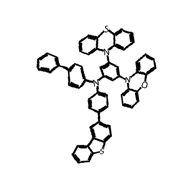 c1ccc(-c2ccc(N(c3ccc(-c4ccc5sc6ccccc6c5c4)cc3)c3cc(N4c5ccccc5Oc5ccccc54)cc(N4c5ccccc5Sc5ccccc54)c3)cc2)cc1